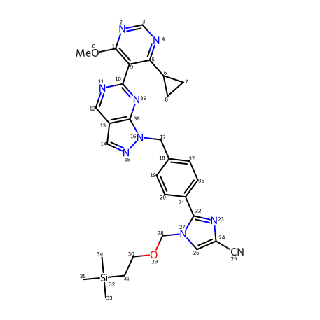 COc1ncnc(C2CC2)c1-c1ncc2cnn(Cc3ccc(-c4nc(C#N)cn4COCC[Si](C)(C)C)cc3)c2n1